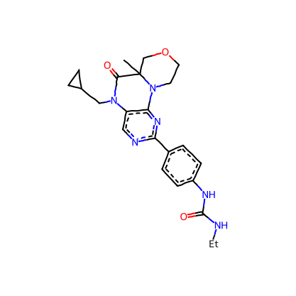 CCNC(=O)Nc1ccc(-c2ncc3c(n2)N2CCOCC2(C)C(=O)N3CC2CC2)cc1